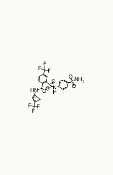 NS(=O)(=O)c1ccc(NS(=O)(=O)c2cc(C(F)(F)F)ccc2C(=O)NC23CC(C(F)(F)F)(C2)C3)cc1